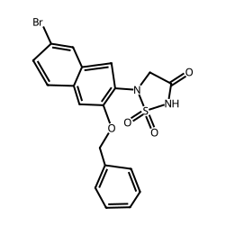 O=C1CN(c2cc3cc(Br)ccc3cc2OCc2ccccc2)S(=O)(=O)N1